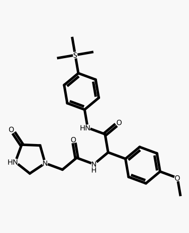 COc1ccc(C(NC(=O)CN2CNC(=O)C2)C(=O)Nc2ccc(S(C)(C)C)cc2)cc1